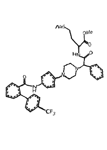 COC(=O)C(CCSC)NC(=O)C(c1ccccc1)N1CCN(c2ccc(NC(=O)c3ccccc3-c3ccc(C(F)(F)F)cc3)cc2)CC1